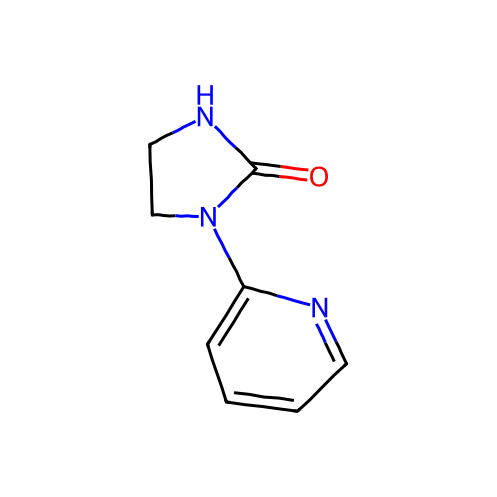 O=C1NCCN1c1ccccn1